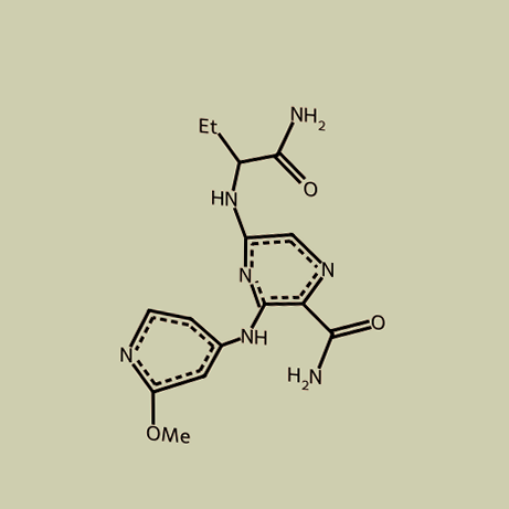 CCC(Nc1cnc(C(N)=O)c(Nc2ccnc(OC)c2)n1)C(N)=O